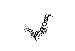 CN1CCN([C@H]2CC[C@@H](n3cc(-c4ccc(Nc5nc6cc(Cl)c(Cl)cc6n5C)cc4)c4c(N)ncnc43)CC2)CC1